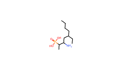 CCCCC(CC)CC(N)C(C)P(=O)(O)O